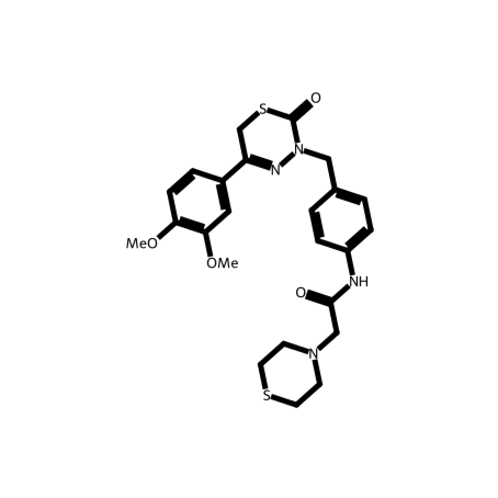 COc1ccc(C2=NN(Cc3ccc(NC(=O)CN4CCSCC4)cc3)C(=O)SC2)cc1OC